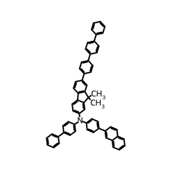 CC1(C)c2cc(-c3ccc(-c4ccc(-c5ccccc5)cc4)cc3)ccc2-c2ccc(N(c3ccc(-c4ccccc4)cc3)c3ccc(-c4ccc5ccccc5c4)cc3)cc21